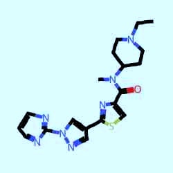 CCN1CCC(N(C)C(=O)c2csc(-c3cnn(-c4ncccn4)c3)n2)CC1